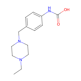 CCN1CCN(Cc2ccc(NC(=O)O)cc2)CC1